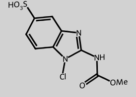 COC(=O)Nc1nc2cc(S(=O)(=O)O)ccc2n1Cl